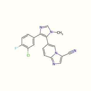 Cn1cnc(-c2ccc(F)c(Cl)c2)c1-c1ccc2ncc(C#N)n2c1